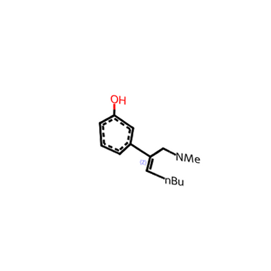 CCCC/C=C(\CNC)c1cccc(O)c1